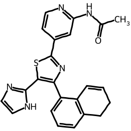 CC(=O)Nc1cc(-c2nc(-c3cccc4c3C=CCC4)c(-c3ncc[nH]3)s2)ccn1